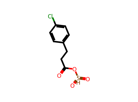 O=C(CCc1ccc(Cl)cc1)O[SH](=O)=O